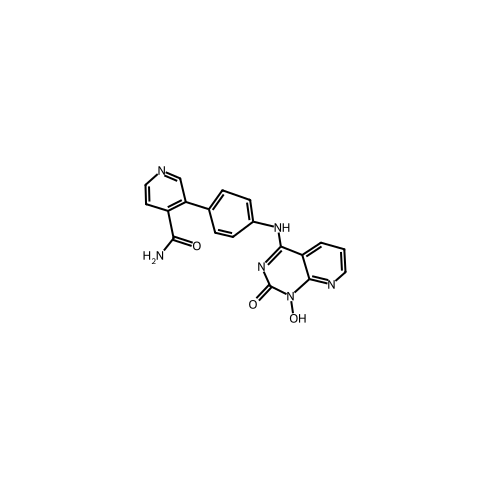 NC(=O)c1ccncc1-c1ccc(Nc2nc(=O)n(O)c3ncccc23)cc1